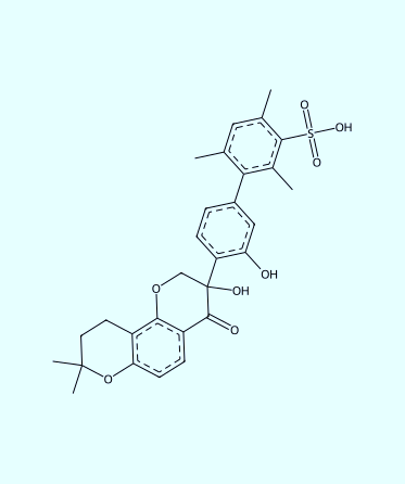 Cc1cc(C)c(S(=O)(=O)O)c(C)c1-c1ccc(C2(O)COc3c(ccc4c3CCC(C)(C)O4)C2=O)c(O)c1